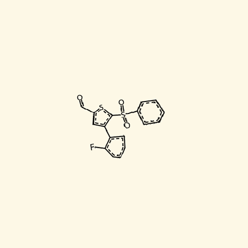 O=Cc1cc(-c2ccccc2F)c(S(=O)(=O)c2ccccc2)s1